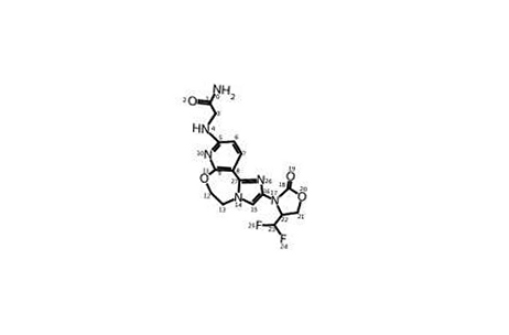 NC(=O)CNc1ccc2c(n1)OCCn1cc(N3C(=O)OCC3C(F)F)nc1-2